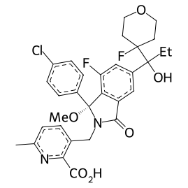 CCC(O)(c1cc(F)c2c(c1)C(=O)N(Cc1ccc(C)nc1C(=O)O)[C@@]2(OC)c1ccc(Cl)cc1)C1(F)CCOCC1